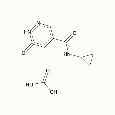 O=C(NC1CC1)c1cn[nH]c(=O)c1.O=C(O)O